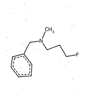 CN(CCCF)Cc1ccccc1